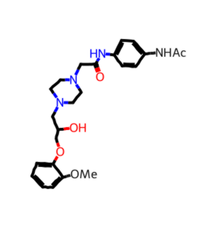 COc1ccccc1OCC(O)CN1CCN(CC(=O)Nc2ccc(NC(C)=O)cc2)CC1